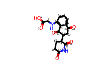 O=C(O)CNc1cccc2c1C(=O)C(C1CCC(=O)NC1=O)CC2=O